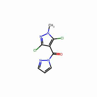 Cn1nc(Cl)c(C(=O)n2cccn2)c1Cl